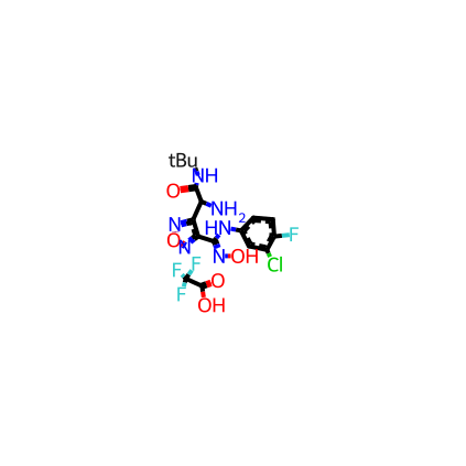 CC(C)(C)NC(=O)C(N)c1nonc1/C(=N/O)Nc1ccc(F)c(Cl)c1.O=C(O)C(F)(F)F